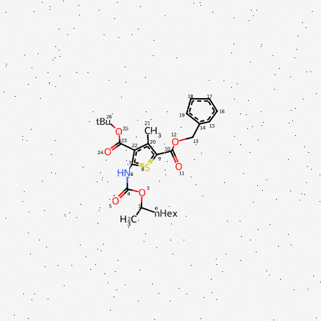 CCCCCCC(C)OC(=O)Nc1sc(C(=O)OCc2ccccc2)c(C)c1C(=O)OC(C)(C)C